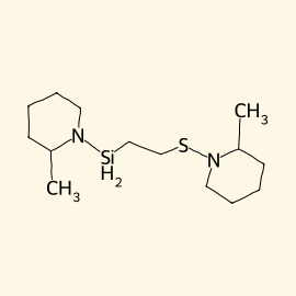 CC1CCCCN1[SiH2]CCSN1CCCCC1C